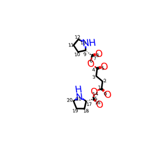 O=C(CCC(=O)OC(=O)[C@@H]1CCCN1)OC(=O)[C@@H]1CCCN1